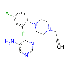 C#CCN1CCN(c2ccc(F)cc2F)CC1.Nc1cncnc1